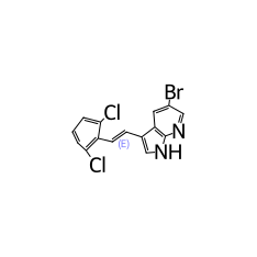 Clc1cccc(Cl)c1/C=C/c1c[nH]c2ncc(Br)cc12